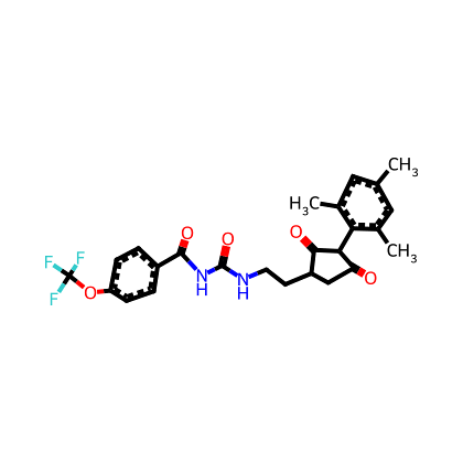 Cc1cc(C)c(C2C(=O)CC(CCNC(=O)NC(=O)c3ccc(OC(F)(F)F)cc3)C2=O)c(C)c1